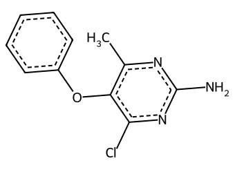 Cc1nc(N)nc(Cl)c1Oc1ccccc1